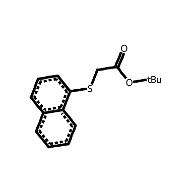 CC(C)(C)OC(=O)CSc1cccc2ccccc12